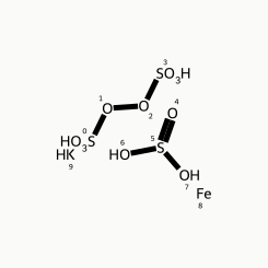 O=S(=O)(O)OOS(=O)(=O)O.O=S(O)O.[Fe].[KH]